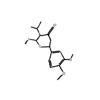 COc1ccc(C2CC(=O)C(C(C)C)C(SC)O2)cc1OC